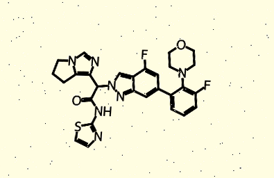 O=C(Nc1nccs1)C(c1ncn2c1CCC2)n1cc2c(F)cc(-c3cccc(F)c3N3CCOCC3)cc2n1